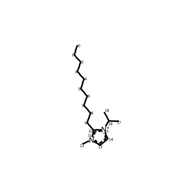 CCCCCCCCCCc1n(C)cc[n+]1C(C)C